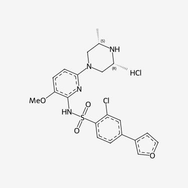 COc1ccc(N2C[C@@H](C)N[C@@H](C)C2)nc1NS(=O)(=O)c1ccc(-c2ccoc2)cc1Cl.Cl